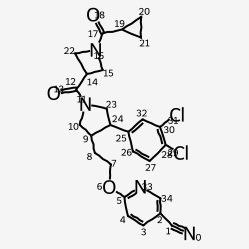 N#Cc1ccc(OCCC2CN(C(=O)C3CN(C(=O)C4CC4)C3)CC2c2ccc(Cl)c(Cl)c2)nc1